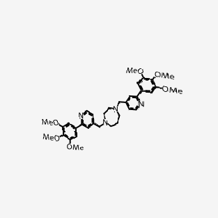 COc1cc(-c2cc(CN3CCCN(Cc4ccnc(-c5cc(OC)c(OC)c(OC)c5)c4)CC3)ccn2)cc(OC)c1OC